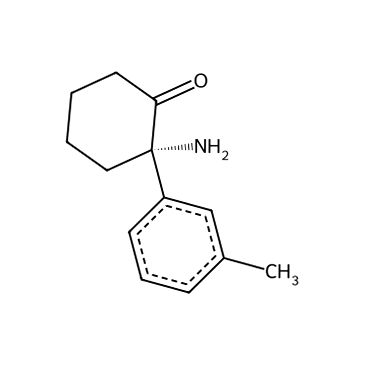 Cc1cccc([C@@]2(N)CCCCC2=O)c1